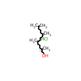 C/C(=C\CO)CCC[C@H](C)CCC[C@H](C)CCCC(C)C.Cl